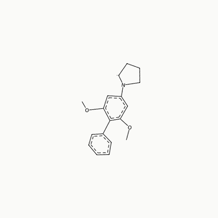 COc1cc(N2[CH]CCC2)cc(OC)c1-c1ccccc1